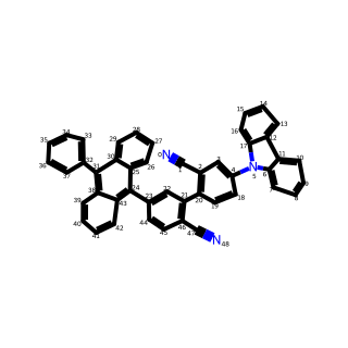 N#Cc1cc(-n2c3ccccc3c3ccccc32)ccc1-c1cc(-c2c3ccccc3c(-c3ccccc3)c3ccccc23)ccc1C#N